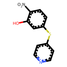 O=[N+]([O-])c1ccc(Sc2ccncc2)cc1O